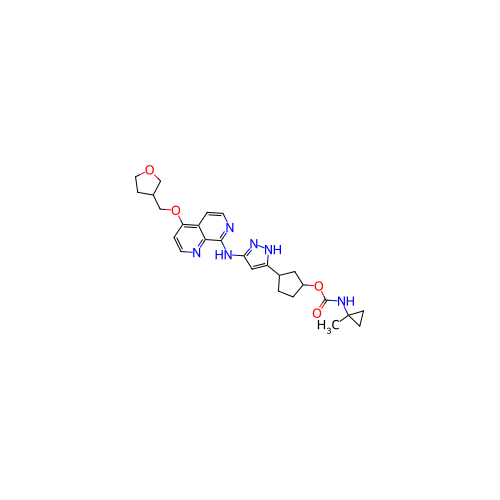 CC1(NC(=O)OC2CCC(c3cc(Nc4nccc5c(OCC6CCOC6)ccnc45)n[nH]3)C2)CC1